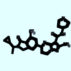 CC(C1CC1)N1Cc2cc(-c3ccn4nc(N)c(C(=O)Nc5ccncc5)c4n3)cc(C(F)(F)F)c2C1=O